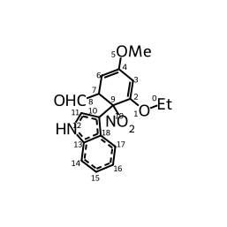 CCOC1=CC(OC)=CC(C=O)C1(c1c[nH]c2ccccc12)[N+](=O)[O-]